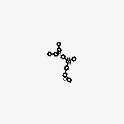 c1ccc(-c2ccc3c(c2)c2cc(-c4ccccc4)ccc2n3-c2ccc(-c3cc(-c4ccc(-c5ccc6oc7ccccc7c6c5)cc4)nc(-c4ccccc4)n3)cc2)cc1